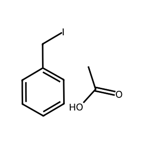 CC(=O)O.ICc1ccccc1